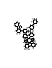 c1ccc(-c2ccc(N(c3ccc(-c4cccc5c4oc4ccccc45)cc3)c3cccc4c3-c3ccccc3C43c4ccccc4C4(c5ccccc5-c5ccccc54)c4ccccc43)cc2)cc1